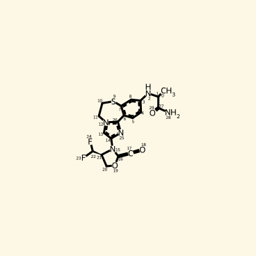 CC(Nc1ccc2c(c1)SCCn1cc(N3C(=C=O)OC[C@H]3C(F)F)nc1-2)C(N)=O